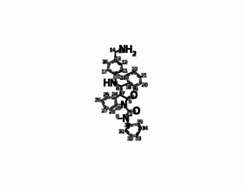 CN(C(=O)N1C(=O)C(=C(Nc2ccc(CN)cc2)c2ccccc2)c2ccccc21)c1ccccc1